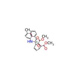 COC(=O)C1=C(C(=O)OC)C2([C@H](Cc3ccccc3)Nc3ccc(C)cc3)C=CC1O2